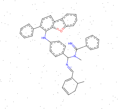 CC1CC=CC=C1/C=N/C(c1ccc(Nc2c(-c3ccccc3)ccc3c2oc2ccccc23)cc1)N(C)C(=N)c1ccccc1